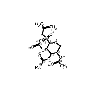 C=C(C)CS(=O)(=O)C1OCC(OC(C)=O)C(OC(C)=O)C1OC(C)=O